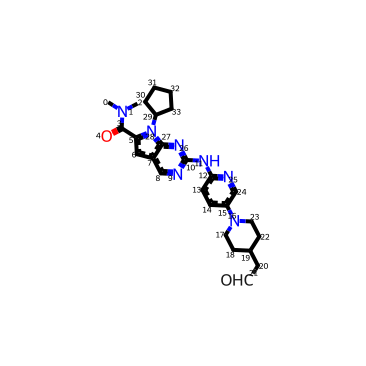 CN(C)C(=O)c1cc2cnc(Nc3ccc(N4CCC(CC=O)CC4)cn3)nc2n1C1CCCC1